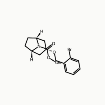 CC(C)(C)OC(=O)N1[C@@H]2CC[C@H]1C[C@@H](OCc1ccccc1Br)C2